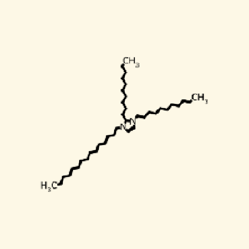 CCCCCCCCCCCCCCCN1C=CN(CCCCCCCCCCC)C1CCCCCCCCCC